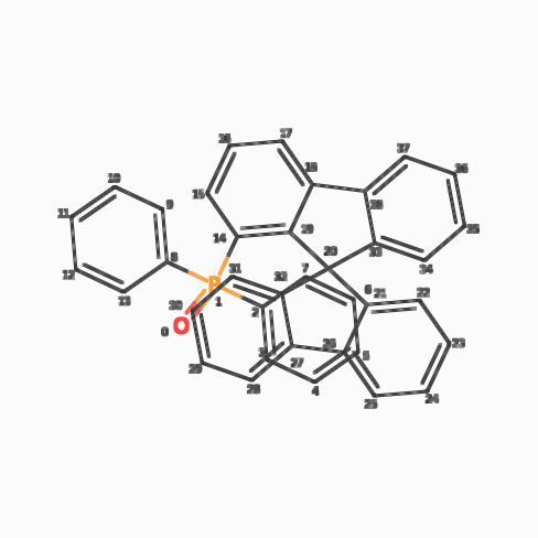 O=P(c1ccccc1)(c1ccccc1)c1cccc2c1C1(c3ccccc3-c3ccccc31)c1ccccc1-2